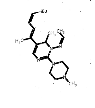 C/C=N\N1C(N2CCN(C)CC2)=NC=C(/C(C)=C/C=C\[C@H](C)CC)C1C